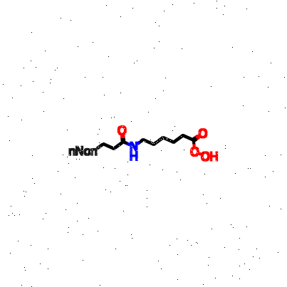 CCCCCCCCCCCC(=O)NCCCCCC(=O)OO